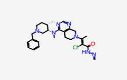 C=NNC(=O)/C(Cl)=C(\C)N1CCc2c(ncnc2N(C)[C@@H]2CN(Cc3ccccc3)CC[C@@H]2C)C1